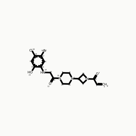 C=CC(=O)N1CC(N2CCN(C(=O)CNc3cc(Br)c(Cl)cc3O)CC2)C1